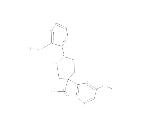 COc1cccc(C2(C(=O)O)CCN(c3ccccc3OC)CC2)c1